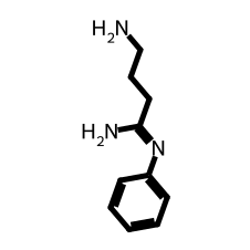 NCCC/C(N)=N/c1ccccc1